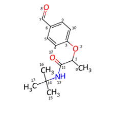 CC(Oc1ccc(C=O)cc1)C(=O)NC(C)(C)C